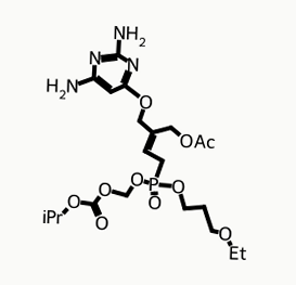 CCOCCCOP(=O)(C/C=C(\COC(C)=O)COc1cc(N)nc(N)n1)OCOC(=O)OC(C)C